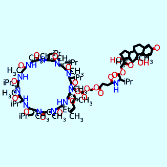 CC=CC[C@@H](C)C(OC(=O)OCOC(=O)CCC(=O)NC(C(=O)OCC(=O)[C@@]1(O)CCC2C3CCC4=CC(=O)C=C[C@]4(C)C3[C@@H](O)C[C@@]21C)C(C)C)[C@@H]1C(=O)N[C@H](CC)C(=O)N(C)CC(=O)N(C)[C@@H](CC(C)C)C(=O)NC(C(C)C)C(=O)N(C)[C@H](CC(C)C)C(=O)NC(C)C(=O)NC(C)C(=O)N(C)C(CC(C)C)C(=O)N(C)[C@H](CC(C)C)C(=O)N(C)C(C(C)C)C(=O)N1C